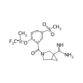 C[C@@H](Oc1ccc(S(C)(=O)=O)cc1C(=O)N1CC2CC2(C(=N)N)C1)C(F)(F)F